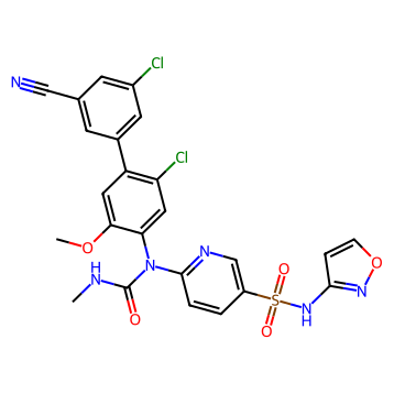 CNC(=O)N(c1ccc(S(=O)(=O)Nc2ccon2)cn1)c1cc(Cl)c(-c2cc(Cl)cc(C#N)c2)cc1OC